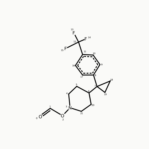 O=CON1CCC(C2(c3ccc(C(F)(F)F)cc3)CC2)CC1